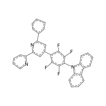 Fc1c(F)c(-n2c3ccccc3c3ccccc32)c(F)c(F)c1-c1cc(-c2ccccc2)nc(-c2ccccn2)c1